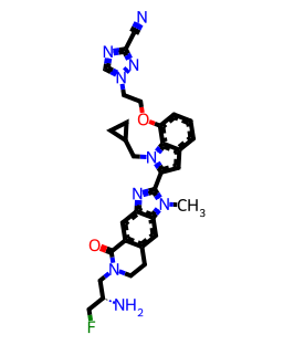 Cn1c(-c2cc3cccc(OCCn4cnc(C#N)n4)c3n2CC2CC2)nc2cc3c(cc21)CCN(C[C@H](N)CF)C3=O